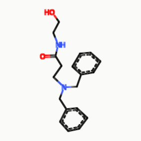 O=C(CCN(Cc1ccccc1)Cc1ccccc1)NCCO